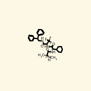 CN[C@@H](C)C(=O)N[C@H](C(=O)N[C@H](C(=O)NCC(c1ccccc1)c1ccccc1)C(F)(F)F)C1CCCCC1